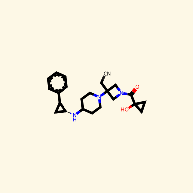 N#CCC1(N2CCC(N[C@@H]3CC3c3ccccc3)CC2)CN(C(=O)C2(O)CC2)C1